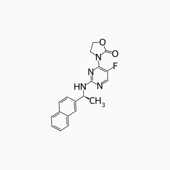 C[C@H](Nc1ncc(F)c(N2CCOC2=O)n1)c1ccc2ccccc2c1